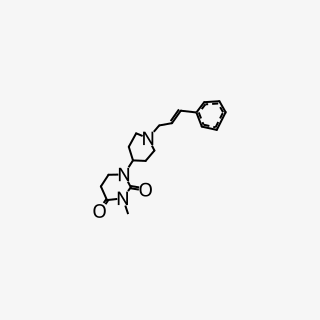 CN1C(=O)CCN(C2CCN(CC=Cc3ccccc3)CC2)C1=O